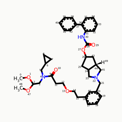 COC(CN(CC1CC1)C(=O)CCOCCc1cccc(CN2CC3CC(OC(=O)Nc4ccccc4-c4ccccc4)C[C@@H]3C2)c1)OC